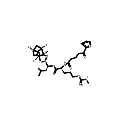 CNC(=N)NCCC[C@H](NC(=O)CCCC(=O)c1cccs1)C(=O)N[C@@H](CC(C)C)B1O[C@@H]2C[C@@H]3C[C@@H](C3(C)C)[C@]2(C)O1